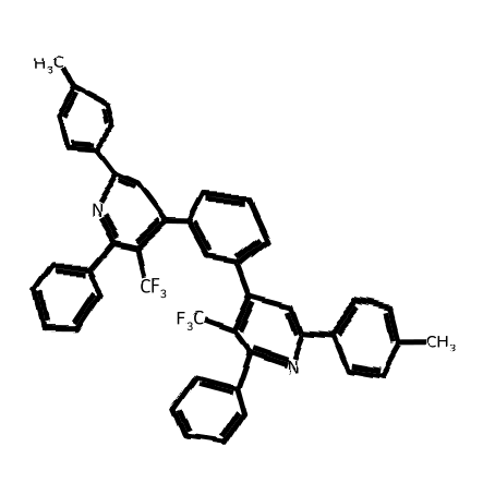 Cc1ccc(-c2cc(-c3cccc(-c4cc(-c5ccc(C)cc5)nc(-c5ccccc5)c4C(F)(F)F)c3)c(C(F)(F)F)c(-c3ccccc3)n2)cc1